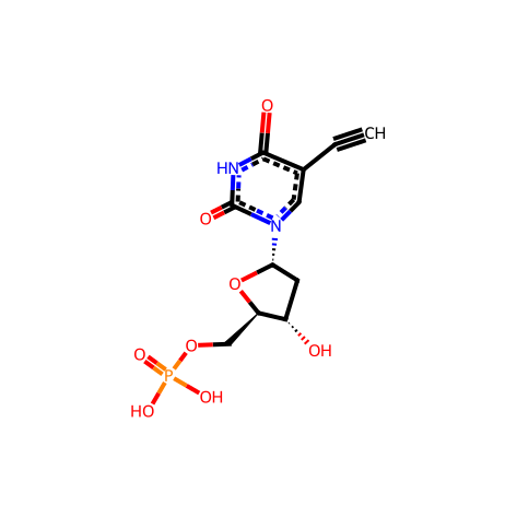 C#Cc1cn([C@@H]2C[C@H](O)[C@@H](COP(=O)(O)O)O2)c(=O)[nH]c1=O